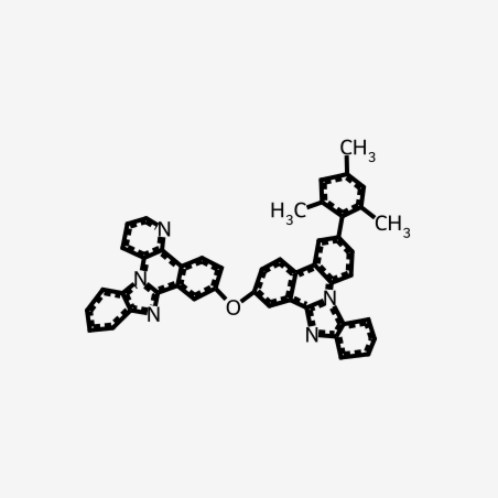 Cc1cc(C)c(-c2ccc3c(c2)c2ccc(Oc4ccc5c(c4)c4nc6ccccc6n4c4cccnc54)cc2c2nc4ccccc4n32)c(C)c1